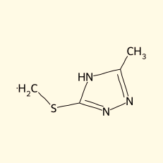 [CH2]Sc1nnc(C)[nH]1